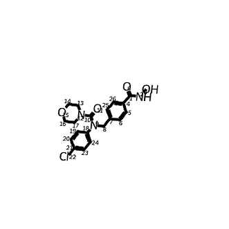 O=C(NO)c1ccc(CN(C(=O)N2CCOCC2)c2ccc(Cl)cc2)cc1